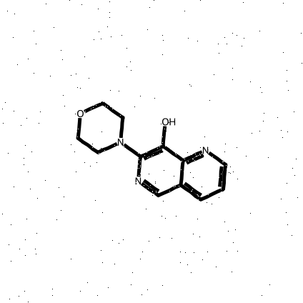 Oc1c(N2CCOCC2)ncc2cccnc12